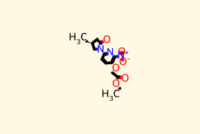 CCOC(=O)COc1ccc(N2C[C@H](CC)CC2=O)nc1[N+](=O)[O-]